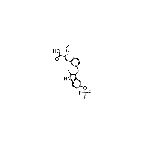 CCOC(=Cc1cccc(Cc2c(C)[nH]c3ccc(OC(F)(F)F)cc23)c1)C(=O)O